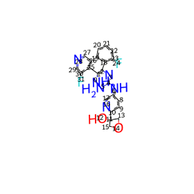 N/C(=C(\N=C(/N)Nc1ccc(C2(O)COC2)nc1)c1ccccc1F)c1ccncc1F